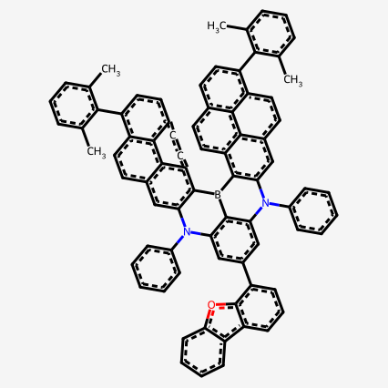 Cc1cccc(C)c1-c1ccc2ccc3c4c(cc5ccc1c2c53)N(c1ccccc1)c1cc(-c2cccc3c2oc2ccccc23)cc2c1B4c1c(cc3ccc4c(-c5c(C)cccc5C)ccc5ccc1c3c54)N2c1ccccc1